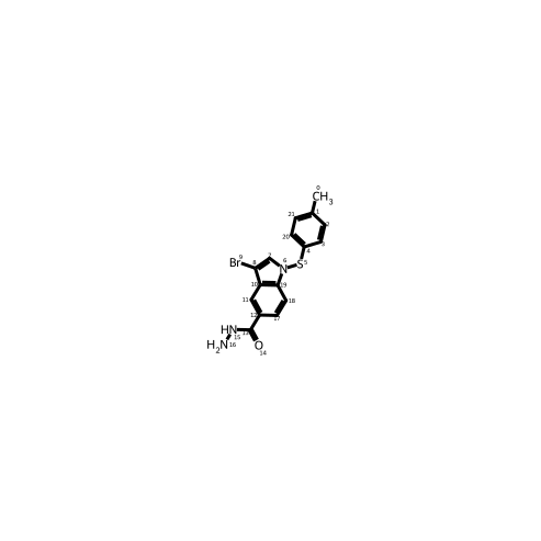 Cc1ccc(Sn2cc(Br)c3cc(C(=O)NN)ccc32)cc1